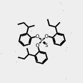 CCC(C)c1ccccc1OP(=S)(Oc1ccccc1C(C)CC)Oc1ccccc1C(C)CC